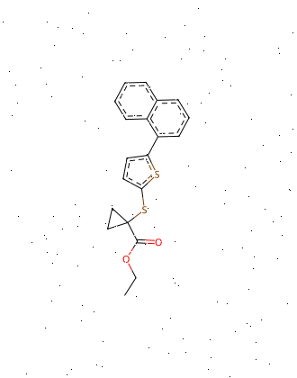 CCOC(=O)C1(Sc2ccc(-c3cccc4ccccc34)s2)CC1